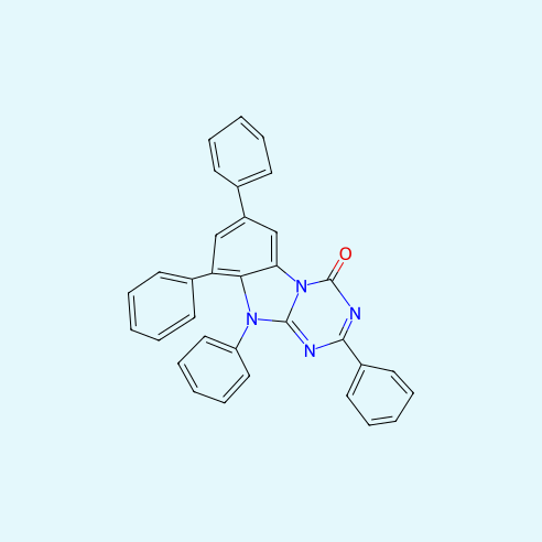 O=c1nc(-c2ccccc2)nc2n(-c3ccccc3)c3c(-c4ccccc4)cc(-c4ccccc4)cc3n12